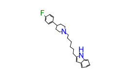 Fc1ccc(C2CCN(CCCCCCc3cc4ccccc4[nH]3)CC2)cc1